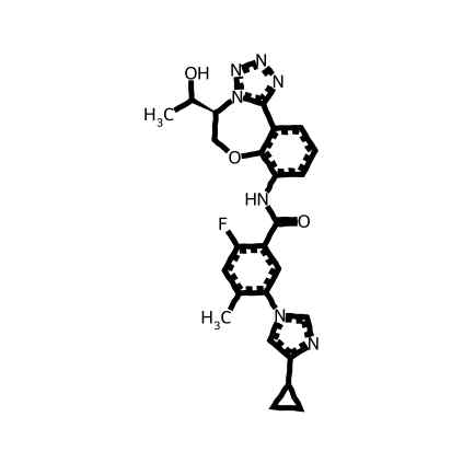 Cc1cc(F)c(C(=O)Nc2cccc3c2OC[C@@H](C(C)O)n2nnnc2-3)cc1-n1cnc(C2CC2)c1